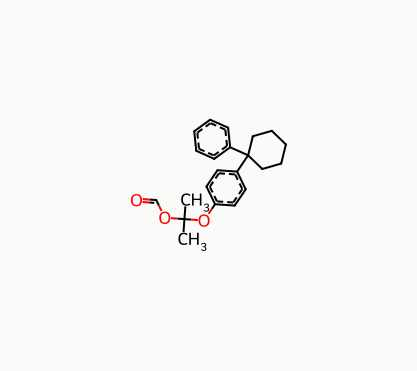 CC(C)(OC=O)Oc1ccc(C2(c3ccccc3)CCCCC2)cc1